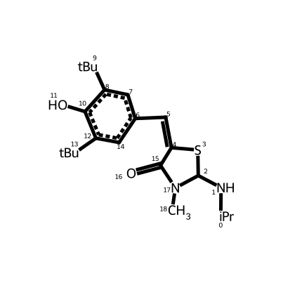 CC(C)NC1SC(=Cc2cc(C(C)(C)C)c(O)c(C(C)(C)C)c2)C(=O)N1C